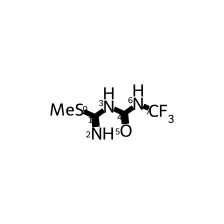 CSC(=N)NC(=O)NC(F)(F)F